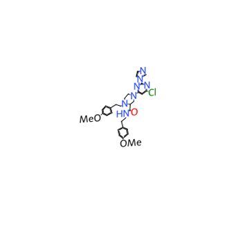 COc1ccc(CCNC(=O)C2CN(c3cc(Cl)nc(-n4ccnc4)n3)CCN2CCc2ccc(OC)cc2)cc1